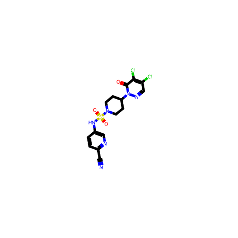 N#Cc1ccc(NS(=O)(=O)N2CCC(n3ncc(Cl)c(Cl)c3=O)CC2)cn1